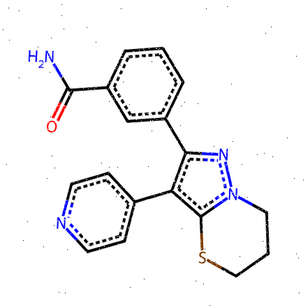 NC(=O)c1cccc(-c2nn3c(c2-c2ccncc2)SCCC3)c1